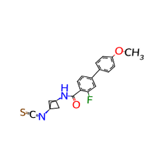 COc1ccc(-c2ccc(C(=O)N[C@]34C[C@](N=C=S)(C3)C4)c(F)c2)cc1